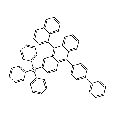 c1ccc(-c2ccc(-c3c4ccccc4c(-c4cccc5ccccc45)c4cc([Si](c5ccccc5)(c5ccccc5)c5ccccc5)ccc34)cc2)cc1